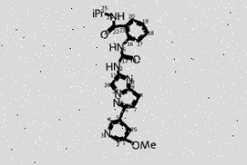 COc1cncc(-c2ccc3nc(NC(=O)Nc4ccccc4C(=O)NC(C)C)cn3n2)c1